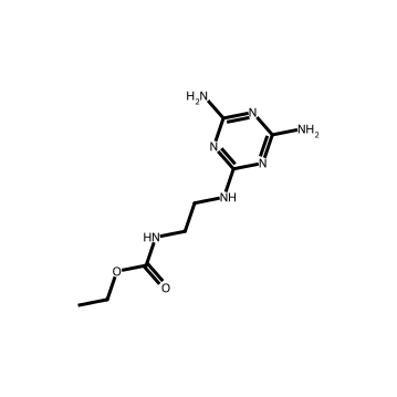 CCOC(=O)NCCNc1nc(N)nc(N)n1